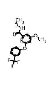 CONC(=O)c1cc(OC)cc(Oc2cccc(C(F)(F)F)c2)n1